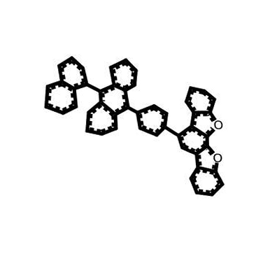 c1ccc2c(-c3c4ccccc4c(-c4ccc(-c5cc6c7ccccc7oc6c6oc7ccccc7c56)cc4)c4ccccc34)cccc2c1